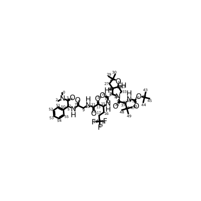 CN(C)C(=O)[C@@H](NC(=O)CNC(=O)C(=O)C(CCC(F)(F)F)NC(=O)[C@@H]1[C@H]2CC(C)(C)O[C@H]2CN1C(=O)[C@@H](NC(=O)OC(C)(C)C)C(C)(C)C)c1ccccc1